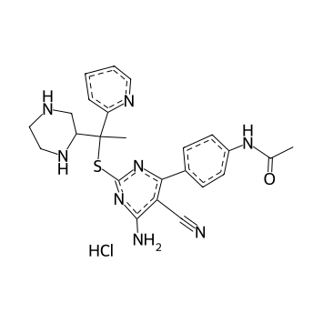 CC(=O)Nc1ccc(-c2nc(SC(C)(c3ccccn3)C3CNCCN3)nc(N)c2C#N)cc1.Cl